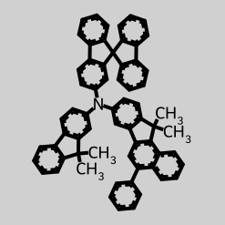 CC1(C)c2ccccc2-c2ccc(N(c3ccc4c(c3)-c3cc(-c5ccccc5)c5ccccc5c3C4(C)C)c3ccc4c(c3)C3(c5ccccc5-c5ccccc53)c3ccccc3-4)cc21